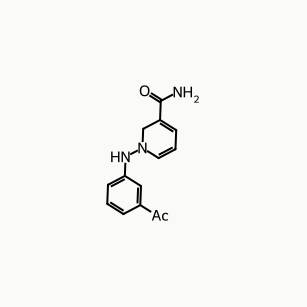 CC(=O)c1cccc(NN2C=CC=C(C(N)=O)C2)c1